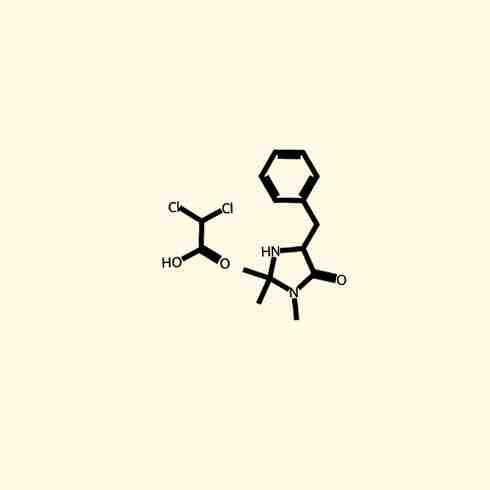 CN1C(=O)C(Cc2ccccc2)NC1(C)C.O=C(O)C(Cl)Cl